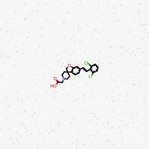 O=C(O)CN1CCC2(CC1)COc1cc(C=Cc3c(Cl)cccc3Cl)ccc12